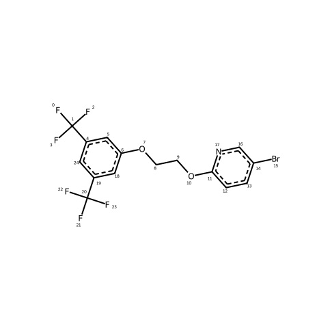 FC(F)(F)c1cc(OCCOc2ccc(Br)cn2)cc(C(F)(F)F)c1